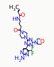 C/C=C/C(=O)NCCCC(=O)N1CCN(c2nc(-c3cnc(N)nc3C(F)F)nc(N3CCOCC3)n2)CC1